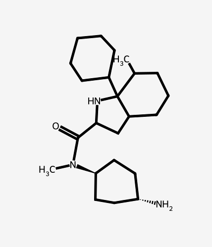 CC1CCCC2CC(C(=O)N(C)[C@H]3CC[C@H](N)CC3)NC12C1CCCCC1